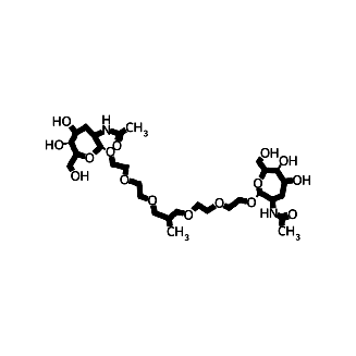 CC(=O)NC1CC(O)[C@@H](O)C(CO)O[C@H]1OCCOCCOCC(C)COCCOCCO[C@@H]1OC(CO)[C@H](O)C(O)CC1NC(C)=O